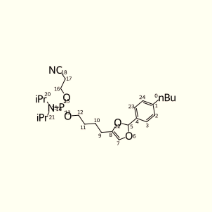 CCCCc1ccc(C2OC=C(CCCCOP(OCCC#N)N(C(C)C)C(C)C)O2)cc1